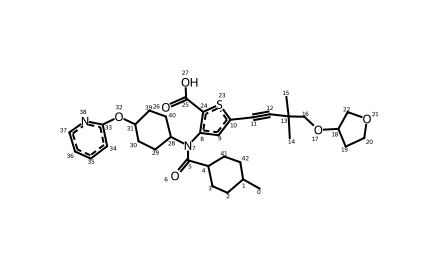 CC1CCC(C(=O)N(c2cc(C#CC(C)(C)COC3CCOC3)sc2C(=O)O)C2CCC(Oc3ccccn3)CC2)CC1